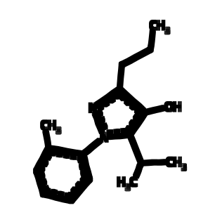 CCCc1nn(-c2ccccc2C)c(C(C)C)c1O